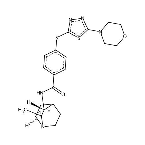 C[C@H]1[C@H](NC(=O)c2ccc(Sc3nnc(N4CCOCC4)s3)cc2)C2CCN1CC2